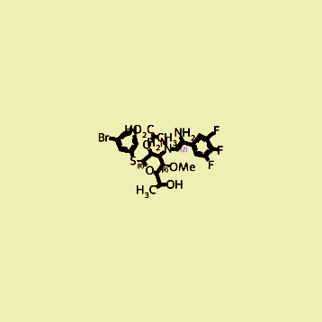 CO[C@H]1C(C(C)O)O[C@H](Sc2cncc(Br)c2)C(OC(C)C(=O)O)C1N(N)/C=C(\N)c1cc(F)c(F)c(F)c1